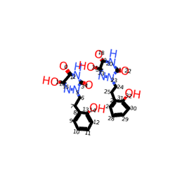 O=c1[nH]c(=O)n(CCc2ccccc2O)nc1O.O=c1[nH]c(=O)n(CCc2ccccc2O)nc1O